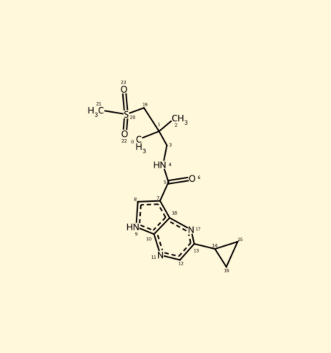 CC(C)(CNC(=O)c1c[nH]c2ncc(C3CC3)nc12)CS(C)(=O)=O